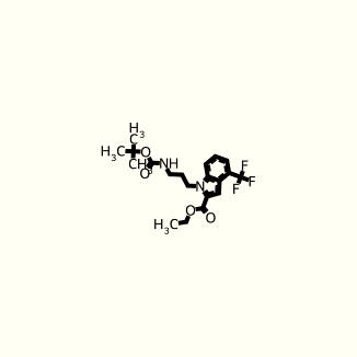 CCOC(=O)c1cc2c(C(F)(F)F)cccc2n1CCCNC(=O)OC(C)(C)C